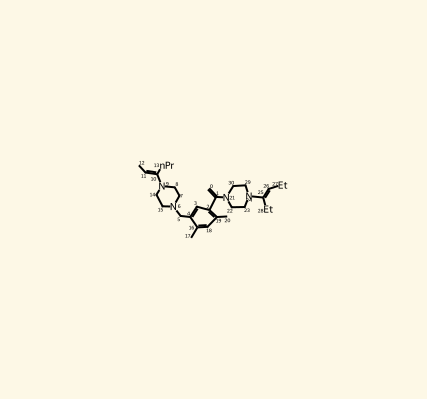 C=C(c1cc(CN2CCN(/C(=C/C)CCC)CC2)c(C)cc1C)N1CCN(/C(=C/CC)CC)CC1